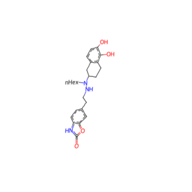 CCCCCCN(NCCc1ccc2[nH]c(=O)oc2c1)C1CCc2c(ccc(O)c2O)C1